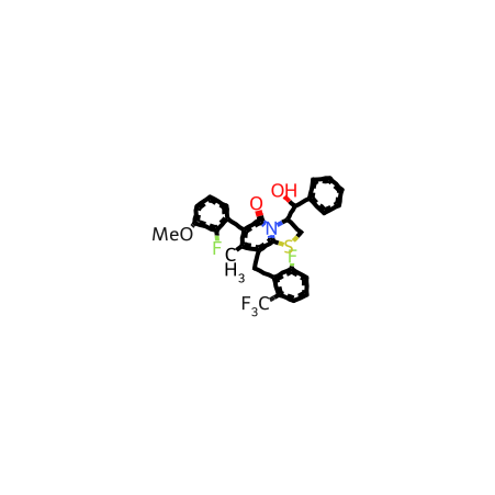 COc1cccc(-c2c(C)c(Cc3c(F)cccc3C(F)(F)F)c3n(c2=O)C(C(O)c2ccccc2)CS3)c1F